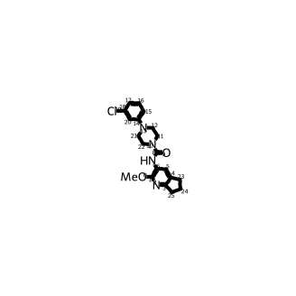 COc1nc2c(cc1NC(=O)N1CCN(c3cccc(Cl)c3)CC1)CCC2